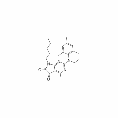 CCCCCN1C(=O)C(=O)c2c(C)nc(N(CC)c3c(C)cc(C)cc3C)nc21